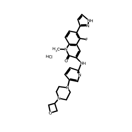 Cl.Cn1c(=O)c(Nc2ccc(N3CCN(C4COC4)CC3)cn2)cc2c(F)c(-c3cc[nH]n3)ccc21